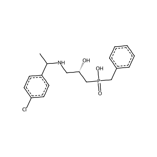 CC(NC[C@H](O)CP(=O)(O)Cc1ccccc1)c1ccc(Cl)cc1